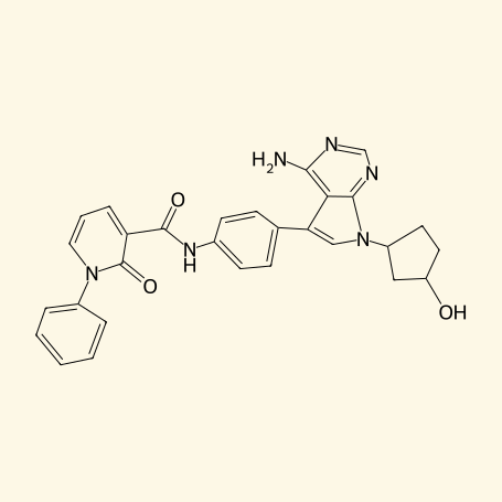 Nc1ncnc2c1c(-c1ccc(NC(=O)c3cccn(-c4ccccc4)c3=O)cc1)cn2C1CCC(O)C1